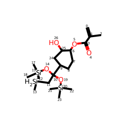 C=C(C)C(=O)OC1CCC(C(C[SiH2]C)(O[Si](C)(C)C)O[Si](C)(C)C)CC1O